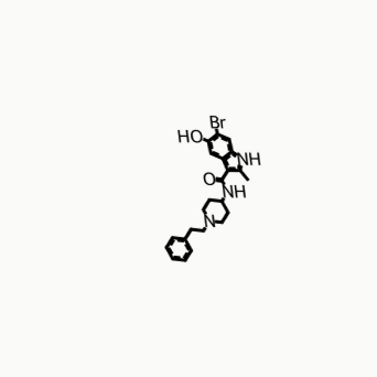 Cc1[nH]c2cc(Br)c(O)cc2c1C(=O)NC1CCN(CCc2ccccc2)CC1